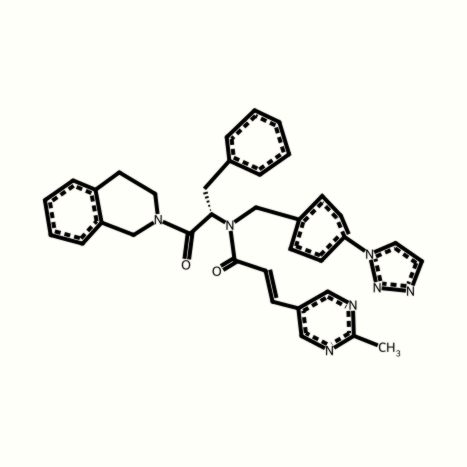 Cc1ncc(C=CC(=O)N(Cc2ccc(-n3ccnn3)cc2)[C@@H](Cc2ccccc2)C(=O)N2CCc3ccccc3C2)cn1